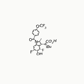 CCC(C)[C@@H](C(=O)O)c1c(C)n(C(=O)c2ccc(OC(F)(F)F)cc2)c2cc(F)c(O)c(F)c12